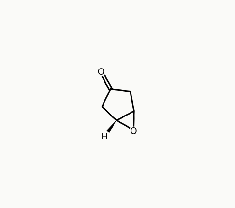 O=C1CC2O[C@@H]2C1